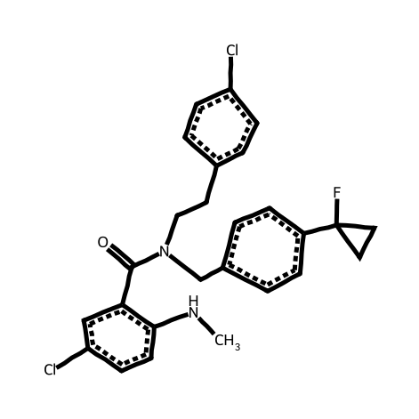 CNc1ccc(Cl)cc1C(=O)N(CCc1ccc(Cl)cc1)Cc1ccc(C2(F)CC2)cc1